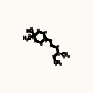 CC[C@@H](C)CCCN1CCC(C)(O)CC1